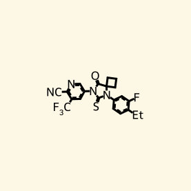 CCc1ccc(N2C(=S)N(c3cnc(C#N)c(C(F)(F)F)c3)C(=O)C23CCC3)cc1F